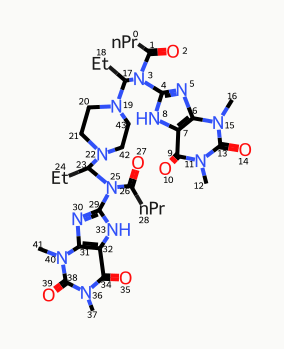 CCCC(=O)N(c1nc2c([nH]1)c(=O)n(C)c(=O)n2C)C(CC)N1CCN(C(CC)N(C(=O)CCC)c2nc3c([nH]2)c(=O)n(C)c(=O)n3C)CC1